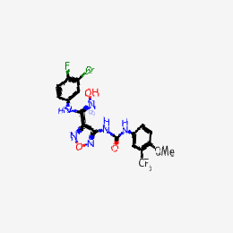 COc1ccc(NC(=O)Nc2nonc2/C(=N/O)Nc2ccc(F)c(Br)c2)cc1C(F)(F)F